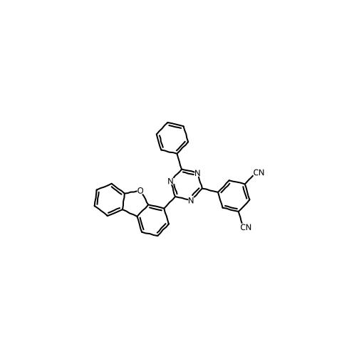 N#Cc1cc(C#N)cc(-c2nc(-c3ccccc3)nc(-c3cccc4c3oc3ccccc34)n2)c1